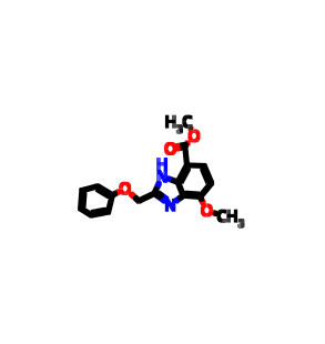 COC(=O)c1ccc(OC)c2nc(COc3ccccc3)[nH]c12